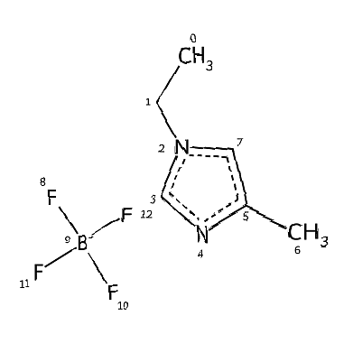 CCn1cnc(C)c1.F[B-](F)(F)F